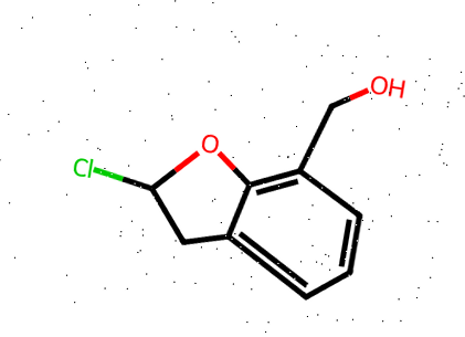 OCc1cccc2c1OC(Cl)C2